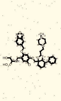 CN1CCN(CCCOC2(COc3cc(OCc4ccc5nonc5c4)c(CNC(CO)C(=O)O)cc3Cl)C=CC=C(c3ccccc3)C2F)CC1